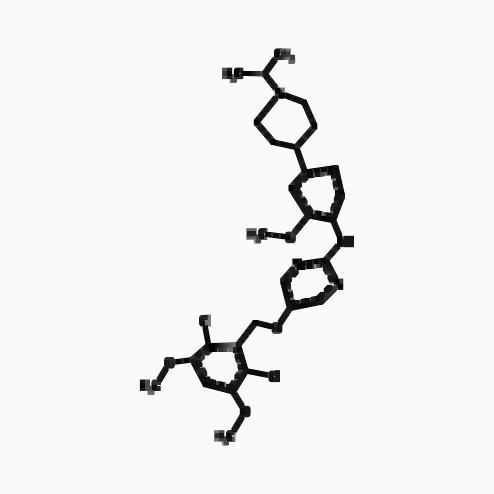 COc1cc(C2CCN(C(C)C)CC2)ccc1Nc1ncc(OCc2c(Cl)c(OC)cc(OC)c2Cl)cn1